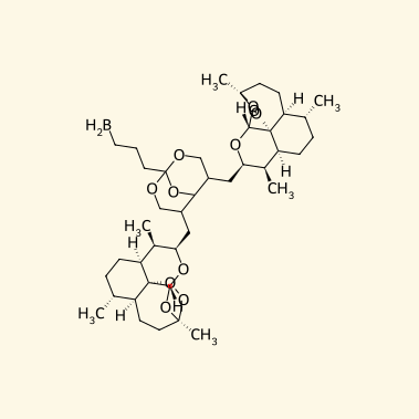 BCCCC12OCC(C[C@H]3O[C@@H]4O[C@]5(C)CC[C@H]6[C@H](C)CC[C@@H]([C@H]3C)[C@@]46OO5)C(O1)C(C[C@H]1O[C@@H]3O[C@]4(C)CC[C@H]5[C@H](C)CC[C@@H]([C@H]1C)[C@@]35OO4)CO2